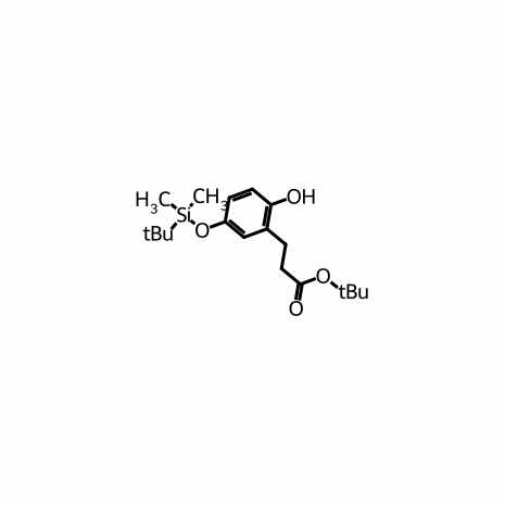 CC(C)(C)OC(=O)CCc1cc(O[Si](C)(C)C(C)(C)C)ccc1O